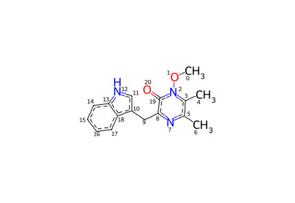 COn1c(C)c(C)nc(Cc2c[nH]c3ccccc23)c1=O